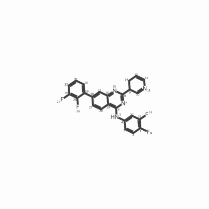 Fc1ccc(Nc2nc(C3C=NC=CC3)nc3cc(-c4cccc(F)c4F)ccc23)cc1F